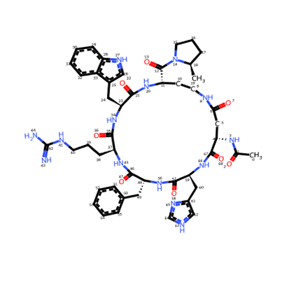 CC(=O)N[C@H]1CC(=O)NCC[C@@H](C(=O)N2CCC[C@H]2C)NC(=O)[C@H](Cc2c[nH]c3ccccc23)NC(=O)[C@H](CCCNC(=N)N)NC(=O)[C@@H](Cc2ccccc2)NC(=O)[C@H](Cc2c[nH]cn2)NC1=O